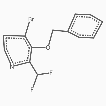 FC(F)c1nccc(Br)c1OCc1ccccc1